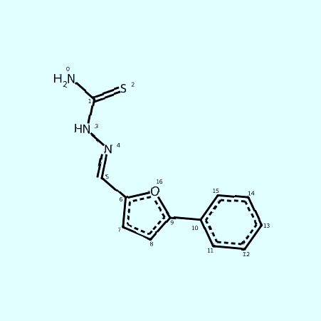 NC(=S)NN=Cc1ccc(-c2ccccc2)o1